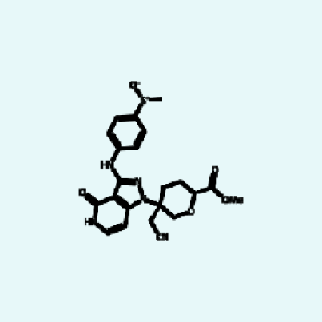 COC(=O)[C@@H]1CC[C@@](CC#N)(n2nc(Nc3ccc([S+](C)[O-])cc3)c3c(=O)[nH]ccc32)CO1